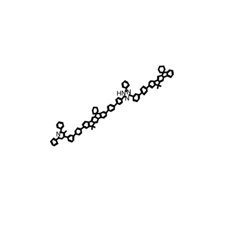 CC1=C(c2cccc(-c3ccc(-c4ccc5c(c4)C(C)(C)C4=CC6c7ccc(-c8ccc(-c9ccc(C%10=NC(c%11cccc(-c%12ccc(-c%13ccc%14c(c%13)C(C)(C)C%13=CC%15c%16ccccc%16C%16(CCCCC%16)C%15C=C%13%14)cc%12)c%11)=NC(c%11ccccc%11)N%10)cc9)cc8)cc7C7(CCCCC7)C6C=C45)cc3)c2)CC(c2ccccc2)N=C1c1ccccc1